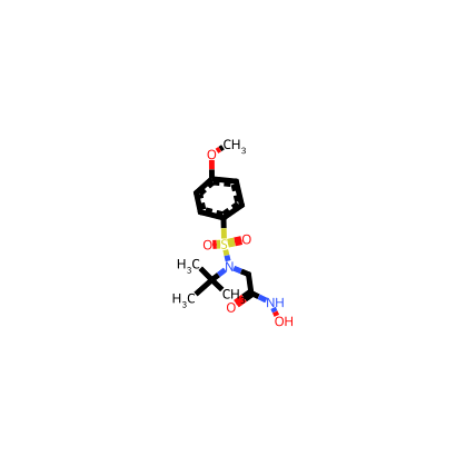 COc1ccc(S(=O)(=O)N(CC(=O)NO)C(C)(C)C)cc1